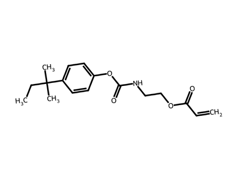 C=CC(=O)OCCNC(=O)Oc1ccc(C(C)(C)CC)cc1